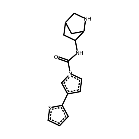 O=C(NC1CC2CNC1C2)n1ccc(-c2cccs2)c1